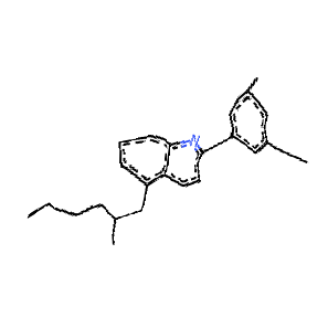 CCCCC(C)Cc1cccc2nc(-c3cc(C)cc(C)c3)ccc12